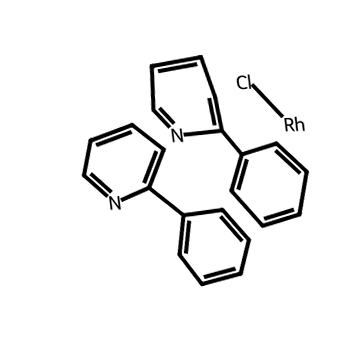 [Cl][Rh].c1ccc(-c2ccccn2)cc1.c1ccc(-c2ccccn2)cc1